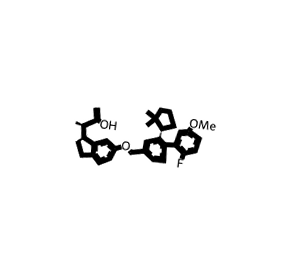 C=C(O)[C@H](C)[C@@H]1CCc2ccc(OCc3ccc(-c4cc(OC)ccc4F)c([C@H]4CCCC4(C)C)c3)cc21